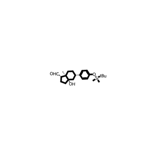 CC(C)(C)[Si](C)(C)Oc1ccc([C@H]2CC[C@]3(C)[C@@H](C=O)CC[C@]3(O)C2)cc1